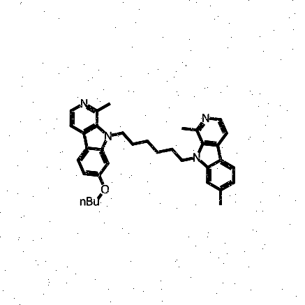 CCCCOc1ccc2c3ccnc(C)c3n(CCCCCCn3c4cc(C)ccc4c4ccnc(C)c43)c2c1